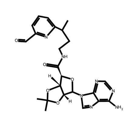 CC(CCNC(=O)[C@H]1OC(n2cnc3c(N)ncnc32)[C@@H]2OC(C)(C)O[C@H]12)c1cccc(C=O)n1